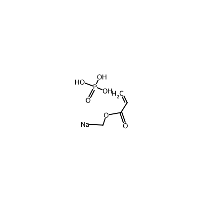 C=CC(=O)O[CH2][Na].O=P(O)(O)O